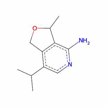 CC(C)c1cnc(N)c2c1COC2C